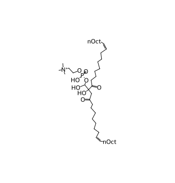 CCCCCCCC/C=C\CCCCCCCC(=O)CC(O)(C(=O)CCCCCCC/C=C\CCCCCCCC)C(O)OP(=O)(O)OCC[N+](C)(C)C